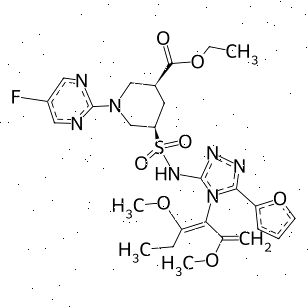 C=C(OC)/C(=C(\CC)OC)n1c(NS(=O)(=O)[C@@H]2C[C@H](C(=O)OCC)CN(c3ncc(F)cn3)C2)nnc1-c1ccco1